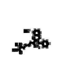 Cl.N[C@@H](CSSC[C@H](N)C(=O)N(Cc1ccccc1)Cc1ccccc1)C(=O)O